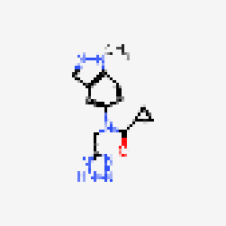 Cn1ncc2cc(N(Cc3nn[nH]n3)C(=O)C3CC3)ccc21